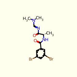 C[C@H](NC(=O)c1cc(Br)cc(Br)c1)C(=O)N=CN(C)C